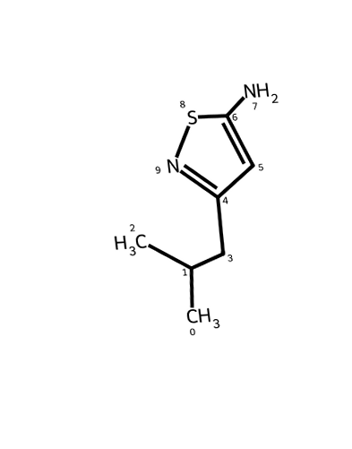 CC(C)Cc1cc(N)sn1